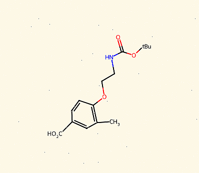 Cc1cc(C(=O)O)ccc1OCCNC(=O)OC(C)(C)C